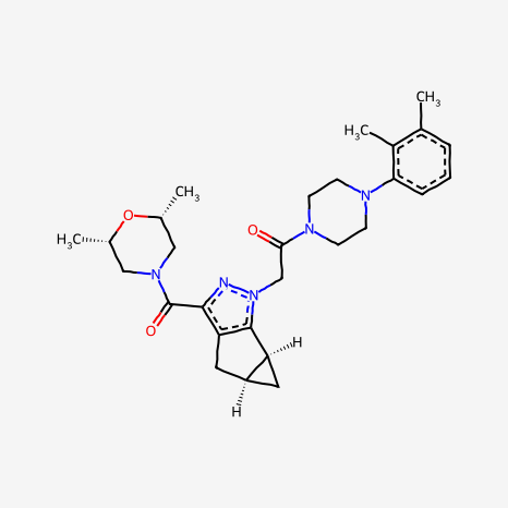 Cc1cccc(N2CCN(C(=O)Cn3nc(C(=O)N4C[C@@H](C)O[C@@H](C)C4)c4c3[C@H]3C[C@H]3C4)CC2)c1C